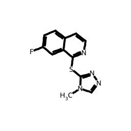 Cn1cnnc1Sc1nccc2ccc(F)cc12